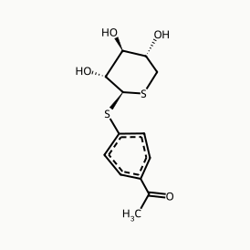 CC(=O)c1ccc(S[C@@H]2SC[C@@H](O)[C@H](O)[C@H]2O)cc1